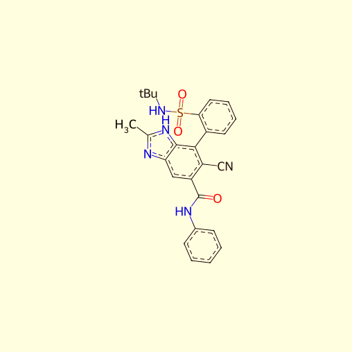 Cc1nc2cc(C(=O)Nc3ccccc3)c(C#N)c(-c3ccccc3S(=O)(=O)NC(C)(C)C)c2[nH]1